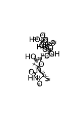 O=C1NC(=O)N([C@H]2C[C@H](O)[C@@H](COP(=O)(O)OP(=O)(O)OP(=O)(O)O)O2)CC1=S